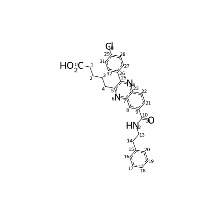 O=C(O)CCCCc1nc2cc(C(=O)NCCc3ccccc3)ccc2nc1-c1ccc(Cl)cc1